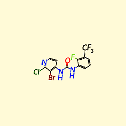 O=C(Nc1cccc(C(F)(F)F)c1F)Nc1ccnc(Cl)c1Br